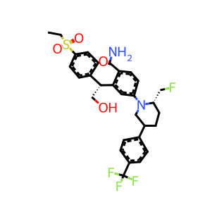 CCS(=O)(=O)c1ccc([C@@H](CO)c2cc(N3CC(c4ccc(C(F)(F)F)cc4)CC[C@H]3CF)ccc2C(N)=O)cc1